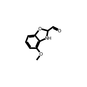 COc1cccc2c1NC(C=O)O2